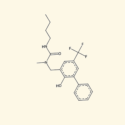 CCCCNC(=O)N(C)Cc1cc(C(F)(F)F)cc(-c2ccccc2)c1O